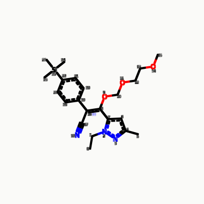 CCn1nc(C)cc1/C(OCOCCOC)=C(\C#N)c1ccc([Si](C)(C)C)cc1